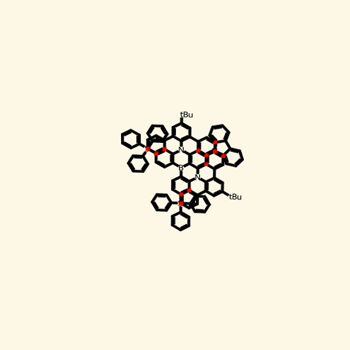 CC(C)(C)c1cc(-c2ccccc2)c(N2c3cc([Si](c4ccccc4)(c4ccccc4)c4ccccc4)ccc3B3c4ccc([Si](c5ccccc5)(c5ccccc5)c5ccccc5)cc4N(c4c(-c5ccccc5)cc(C(C)(C)C)cc4-c4ccccc4)c4cc(-n5c6ccccc6c6ccccc65)cc2c43)c(-c2ccccc2)c1